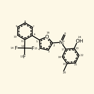 C=[N+](c1ccc(-c2ccccc2C(F)(F)F)o1)c1cc(C)ccc1O